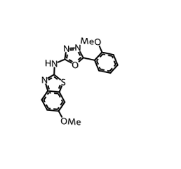 COc1ccc2nc(Nc3nnc(-c4ccccc4OC)o3)sc2c1